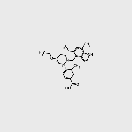 CCO[C@H]1CCN(Cc2c(CC)cc(C)c3[nH]ccc23)[C@H](C2=CC=C(C(=O)O)CC2C)C1